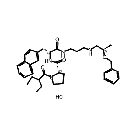 CCC(CC)C(=O)N1CCC[C@H]1C(=O)N[C@H](Cc1ccc2ccccc2c1)C(=O)NCCCNC[C@@H](C)OCc1ccccc1.Cl